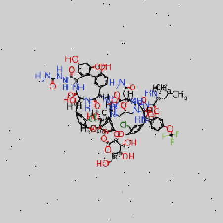 CN[C@H](CC(C)C)C(=O)N[C@H]1C(=O)N[C@@H](CC(N)=O)C(=O)N[C@H]2C(=O)N[C@H]3C(=O)N[C@H](C(=O)N[C@@H](C(=O)NNC(N)=O)c4cc(O)cc(O)c4-c4cc3ccc4O)[C@H](O)c3ccc(c(Cl)c3)Oc3cc2cc(c3O[C@@H]2O[C@H](CO)[C@@H](O)[C@H](O)[C@H]2O[C@H]2C[C@](C)(NCC3CN(C(=O)Nc4ccc(OC(F)(F)F)cc4)CCO3)[C@H](O)[C@H](C)O2)Oc2ccc(cc2Cl)[C@H]1O